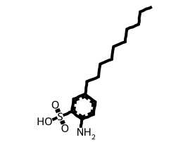 CCCCCCCCCCc1ccc(N)c(S(=O)(=O)O)c1